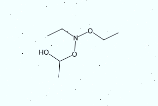 CCON(CC)OC(C)O